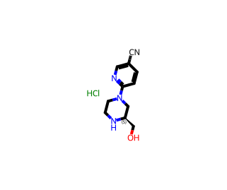 Cl.N#Cc1ccc(N2CCN[C@H](CO)C2)nc1